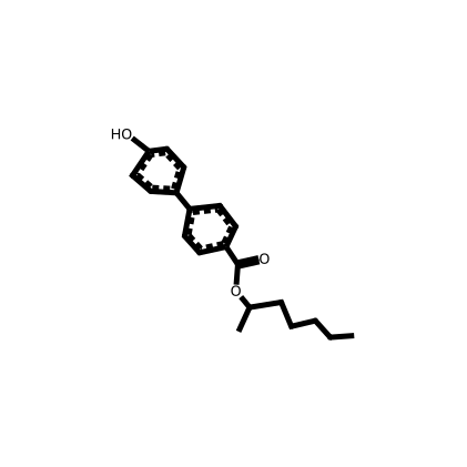 CCCCCC(C)OC(=O)c1ccc(-c2ccc(O)cc2)cc1